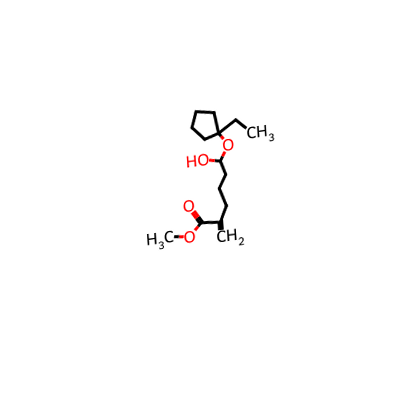 C=C(CCCC(O)OC1(CC)CCCC1)C(=O)OC